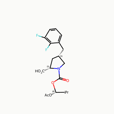 CC(=O)O[C@H](OC(=O)N1C[C@@H](Cc2cccc(F)c2F)C[C@H]1C(=O)O)C(C)C